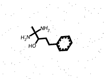 CC(N)(N)C(O)CCc1ccccc1